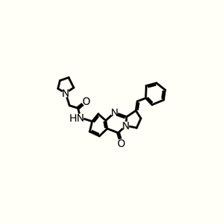 O=C(CN1CCCC1)Nc1ccc2c(=O)n3c(nc2c1)C(=Cc1ccccc1)CC3